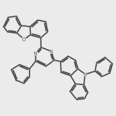 c1ccc(-c2cc(-c3ccc4c(c3)c3ccccc3n4-c3ccccc3)nc(-c3cccc4c3oc3ccccc34)n2)cc1